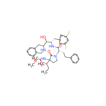 CCC(C)C1(NC(C)=O)CCN([C@@H](CCc2ccccc2)C(=O)N[C@@H](Cc2cc(F)cc(F)c2)[C@H](O)C2Cc3cccc(OC)c3CN2)C1=O